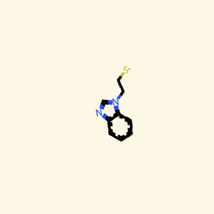 [S]CCn1cnc2ccccc21